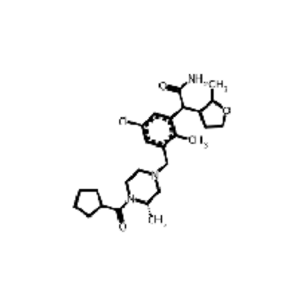 Cc1c(CN2CCN(C(=O)C3CCCC3)[C@@H](C)C2)cc(Cl)cc1C(C(N)=O)C1CCOC1C